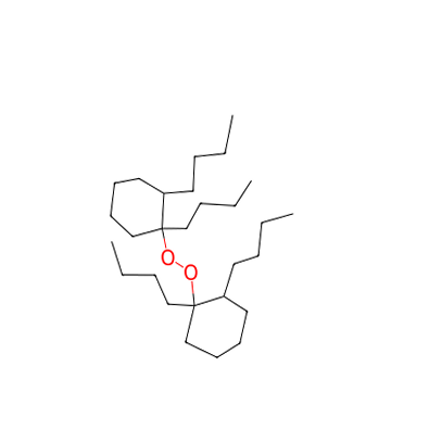 CCCCC1CCCCC1(CCCC)OOC1(CCCC)CCCCC1CCCC